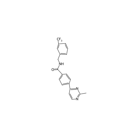 Cc1nccc(-c2ccc(C(=O)NCc3cccc(C(F)(F)F)c3)cc2)n1